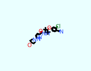 CC1(C)[C@H](NC(=O)c2ccc(N3CCC(=O)CC3)nn2)C(C)(C)[C@H]1Oc1ccc(C#N)c(Cl)c1